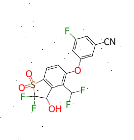 N#Cc1cc(F)cc(Oc2ccc3c(c2C(F)F)C(O)C(F)(F)S3(=O)=O)c1